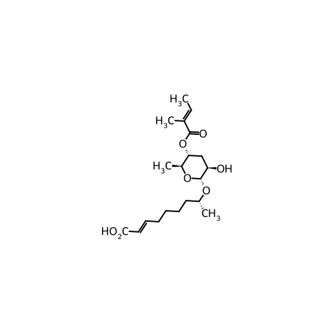 C/C=C(\C)C(=O)O[C@@H]1C[C@@H](O)[C@H](O[C@H](C)CCCC/C=C/C(=O)O)O[C@H]1C